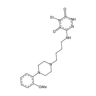 CCn1c(=O)[nH]nc(NCCCCN2CCN(c3ccccc3OC)CC2)c1=O